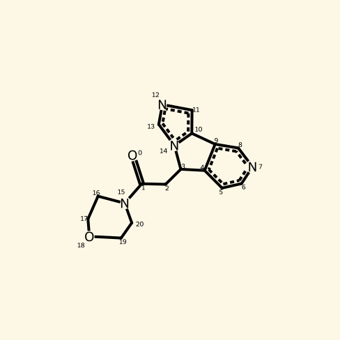 O=C(CC1c2ccncc2-c2cncn21)N1CCOCC1